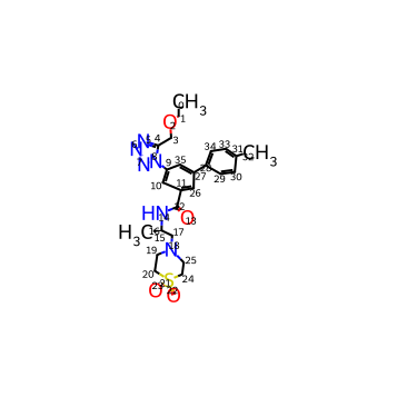 CCOCc1nnnn1-c1cc(C(=O)N[C@H](C)CN2CCS(=O)(=O)CC2)cc(-c2ccc(C)cc2)c1